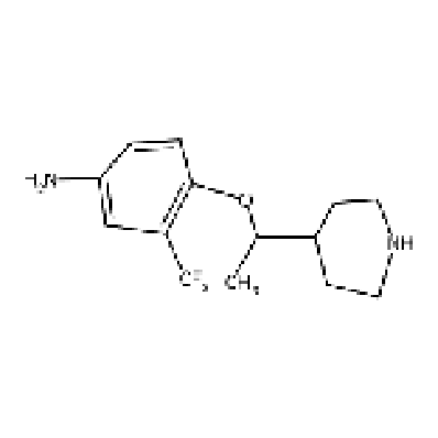 CC(Oc1ccc(N)cc1C(F)(F)F)C1CCNCC1